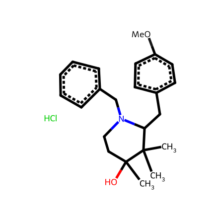 COc1ccc(CC2N(Cc3ccccc3)CCC(C)(O)C2(C)C)cc1.Cl